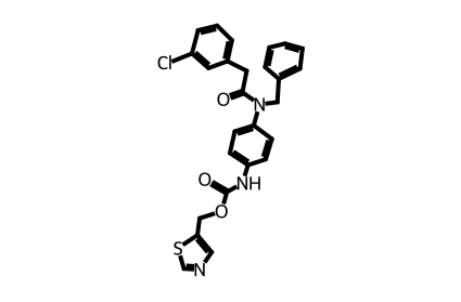 O=C(Nc1ccc(N(Cc2ccccc2)C(=O)Cc2cccc(Cl)c2)cc1)OCc1cncs1